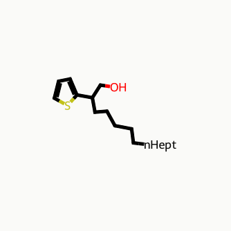 CCCCCCCCCCCCC(CO)c1cccs1